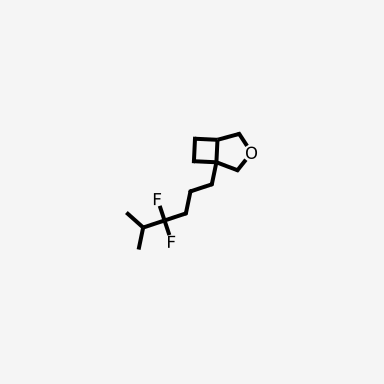 CC(C)C(F)(F)CCCC12CCC1COC2